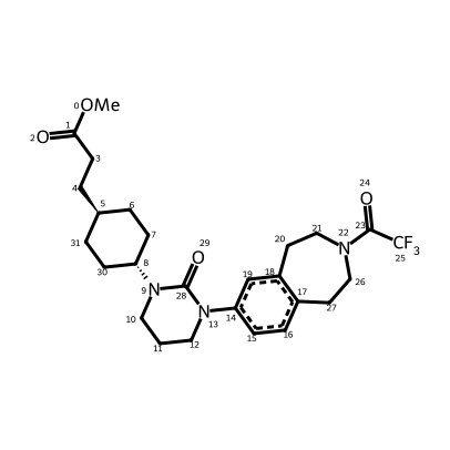 COC(=O)CC[C@H]1CC[C@H](N2CCCN(c3ccc4c(c3)CCN(C(=O)C(F)(F)F)CC4)C2=O)CC1